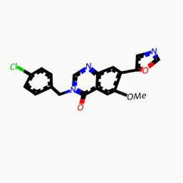 COc1cc2c(=O)n(Cc3ccc(Cl)cc3)cnc2cc1-c1cnco1